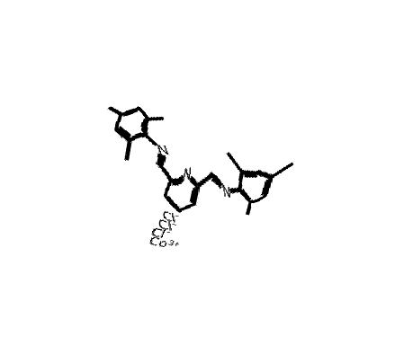 Cc1cc(C)c(N=Cc2cccc(C=Nc3c(C)cc(C)cc3C)n2)c(C)c1.[Cl-].[Cl-].[Cl-].[Co+3]